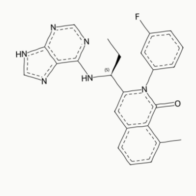 CC[C@H](Nc1ncnc2[nH]cnc12)c1cc2cccc(C)c2c(=O)n1-c1cccc(F)c1